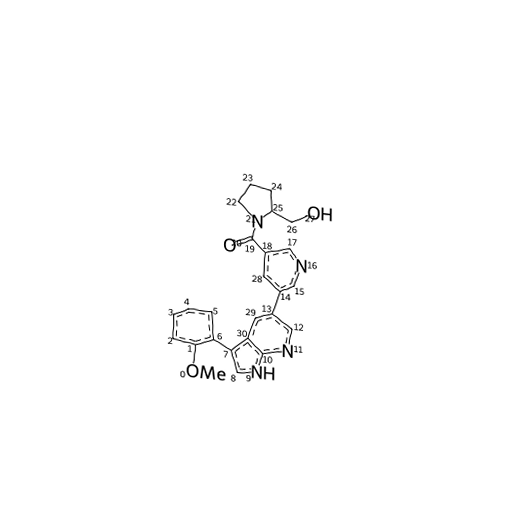 COc1ccccc1-c1c[nH]c2ncc(-c3cncc(C(=O)N4CCCC4CO)c3)cc12